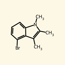 Cc1c(C)n(C)c2cccc(Br)c12